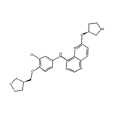 Clc1cc(Nc2ncnc3ccc(O[C@H]4CCNC4)nc23)ccc1OC[C@H]1CCOC1